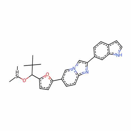 C[SiH](C)OC(c1ccc(-c2ccc3nc(-c4ccc5cc[nH]c5c4)cn3c2)o1)C(C)(C)C